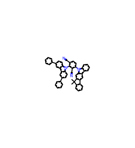 CC1(C)c2ccccc2-c2cc3c4ccccc4n(-c4ccc(C#N)c(-n5c6ccc(-c7ccccc7)cc6c6cc(-c7ccccc7)ccc65)c4C#N)c3cc21